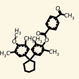 COc1c(C)cc(C2(c3cc(C)c(OC(=O)c4ccc(C(C)=O)cc4)c(C)c3)CCCCC2)cc1C